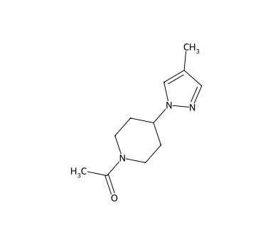 CC(=O)N1CCC(n2cc(C)cn2)CC1